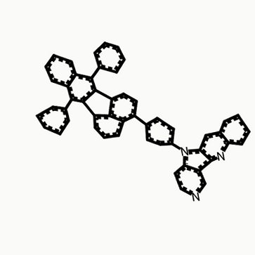 c1ccc(-c2c3c(c(-c4ccccc4)c4ccccc24)-c2ccc(-c4ccc(-n5c6ccncc6c6nc7ccccc7cc65)cc4)c4cccc-3c24)cc1